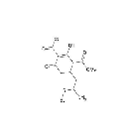 CCSC(C)CC1CC(=O)C(C(=O)CC)=C(O)C1C(=O)OC